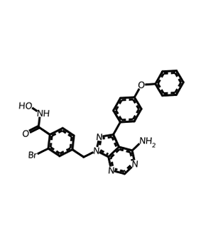 Nc1ncnc2c1c(-c1ccc(Oc3ccccc3)cc1)nn2Cc1ccc(C(=O)NO)c(Br)c1